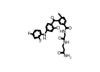 Cc1ccc(C(=O)NCC(=O)NCCC(N)=O)cc1C(=O)c1ccc(Nc2ccc(F)cc2F)cc1Cl